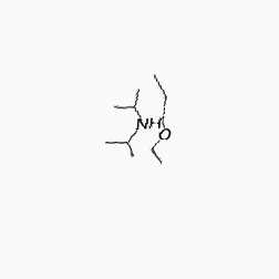 CC(C)NC(C)C.CCCOCC